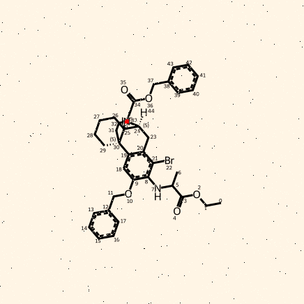 CCOC(=O)C(C)Nc1c(OCc2ccccc2)cc2c(c1Br)C[C@H]1[C@H]3CCCC[C@@]23CCN1C(=O)OCc1ccccc1